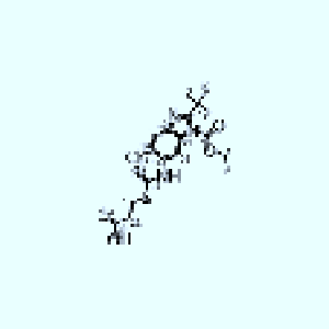 CCOC(=O)n1c(C(C)(C)C)nc2cc(Cl)c(NC(=S)SCCC(=O)O)cc21